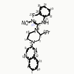 CC(C)C1CN(c2cnc3ccccc3n2)CCN1/C(=N\C#N)Nc1ccccc1F